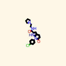 O=C(NCCN1CCCC1)c1cc2ccc(=O)n(-c3ccc(Cl)cc3)c2[nH]1